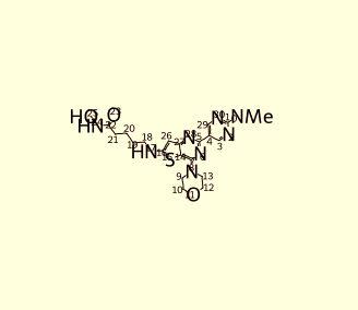 CNc1ncc(-c2nc(N3CCOCC3)c3sc(NCCCCC(=O)NO)cc3n2)cn1